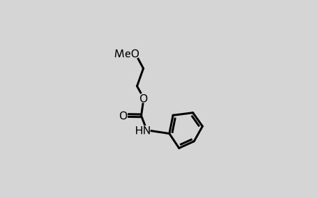 COCCOC(=O)Nc1ccccc1